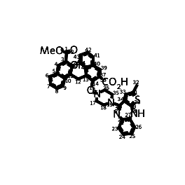 COC(=O)c1cc2ccccc2c(Cc2c(ON3CCN(C4=Nc5ccccc5Nc5sc(C)cc54)CC3)c(C(=O)O)cc3ccccc23)c1O